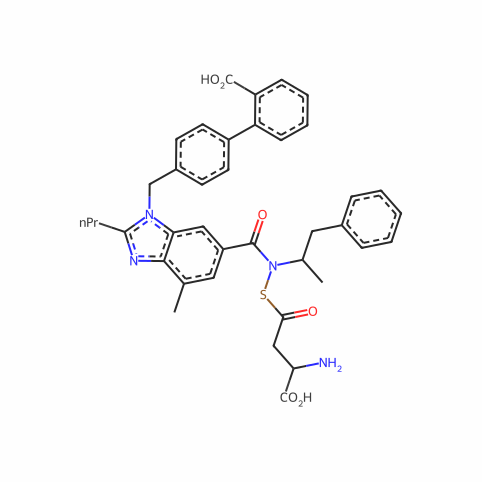 CCCc1nc2c(C)cc(C(=O)N(SC(=O)CC(N)C(=O)O)C(C)Cc3ccccc3)cc2n1Cc1ccc(-c2ccccc2C(=O)O)cc1